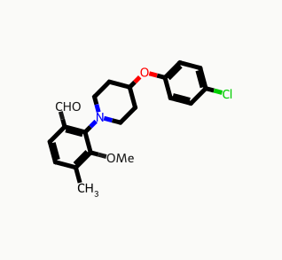 COc1c(C)ccc(C=O)c1N1CCC(Oc2ccc(Cl)cc2)CC1